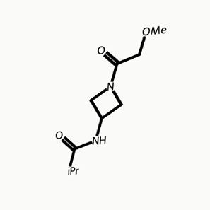 COCC(=O)N1CC(NC(=O)C(C)C)C1